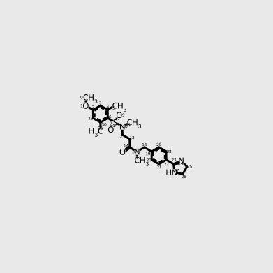 COc1cc(C)c(S(=O)(=O)N(C)CCC(=O)N(C)Cc2ccc(C3=NCCN3)cc2)c(C)c1